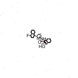 CC1(C(=O)NC2=NC(c3ccc(F)c4ccccc34)CS2)CC2c3ccccc3C1CC2O